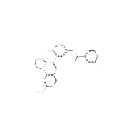 CNc1ncc2c(n1)N1CCN=C1C(c1cc(NC(=O)c3cc(C(F)(F)F)ccn3)ccc1Cl)=C2